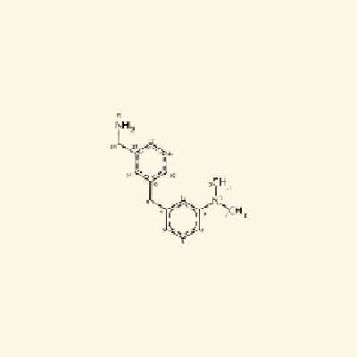 CN(C)c1[c]ccc(Cc2cccc(CN)c2)c1